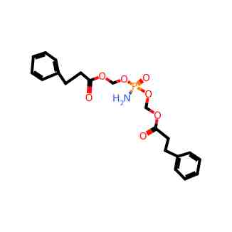 NP(=O)(OCOC(=O)CCc1ccccc1)OCOC(=O)CCc1ccccc1